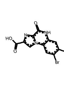 O=C(O)c1cn2c(n1)c(=O)[nH]c1cc(Br)c(Br)cc12